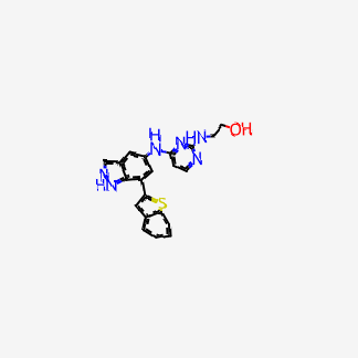 OCCNc1nccc(Nc2cc(-c3cc4ccccc4s3)c3[nH]ncc3c2)n1